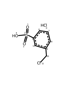 Cl.O=S(=O)(O)c1cccc(CCl)c1